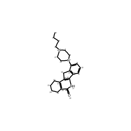 CCCCN1CCN(c2cccc3c2Cc2c-3[nH]c(=O)c3c2CCCC3)CC1